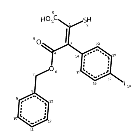 O=C(O)/C(S)=C(\C(=O)OCc1ccccc1)c1ccc(I)cc1